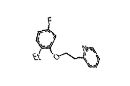 CCc1ccc(F)cc1OCCc1ccccn1